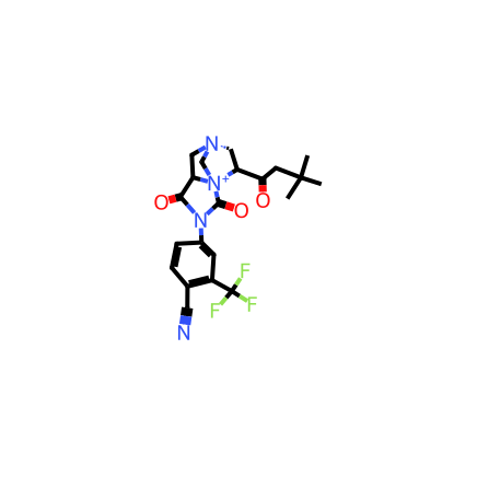 CC(C)(C)CC(=O)C1C[N@@]2CC3C(=O)N(c4ccc(C#N)c(C(F)(F)F)c4)C(=O)[N+]13C2